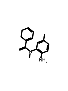 C=C(C1=CC=CCC1)N(C)c1cc(C)ccc1N